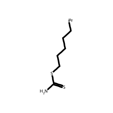 CC(C)CCCCCSC(N)=S